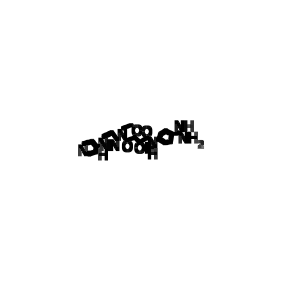 N=C(N)c1ccc(NC(=O)C(O)C2OCCN(C(=N)/C=C\Nc3ccncc3)C2=O)cc1